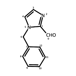 O=Cc1nccn1Cc1ccccc1